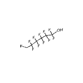 OC(F)(F)C(F)(F)C(F)(F)C(F)(F)C(F)(F)CF